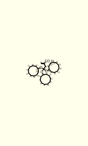 C=C(CC(OC1CCCCCCCCC1)(OC1CCCCCCCCC1)OC1CCCCCCCCC1)C(=O)O